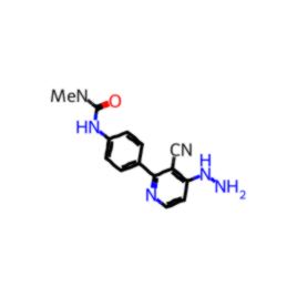 CNC(=O)Nc1ccc(-c2nccc(NN)c2C#N)cc1